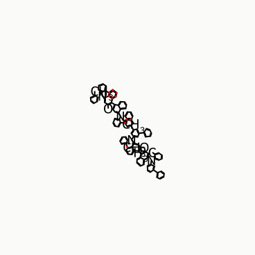 Cc1ccccc1N(c1cccc(-c2ccccc2)c1)c1cc2oc3cc(N(c4cc(-c5ccccc5)cc(-c5cccc(-c6ccccc6N(c6ccccc6C)c6cc7oc8cc(N(c9ccccc9C)c9ccccc9-c9ccccc9)c9ccccc9c8c7c7ccccc67)c5)c4)c4ccccc4C)c4ccccc4c3c2c2ccccc12